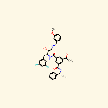 COc1cccc(CNC[C@@H](O)[C@H](Cc2cc(F)cc(F)c2)NC(=O)c2cc(C(C)=O)cc(C(=O)N[C@H](C)c3ccccc3)c2)c1